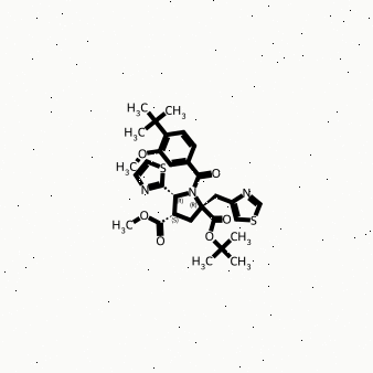 COC(=O)[C@H]1C[C@@](Cc2cscn2)(C(=O)OC(C)(C)C)N(C(=O)c2ccc(C(C)(C)C)c(OC)c2)[C@H]1c1nccs1